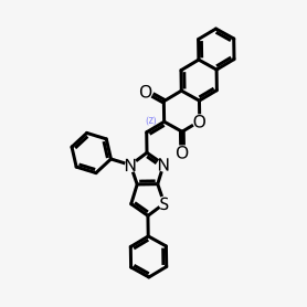 O=C1Oc2cc3ccccc3cc2C(=O)/C1=C/c1nc2sc(-c3ccccc3)cc2n1-c1ccccc1